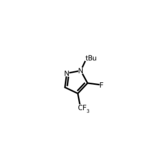 CC(C)(C)n1ncc(C(F)(F)F)c1F